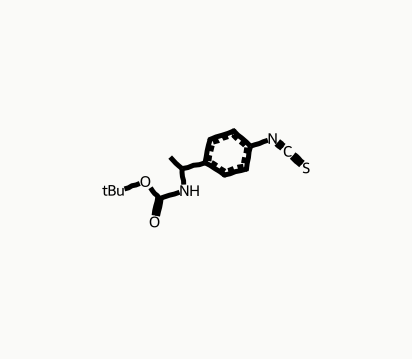 CC(NC(=O)OC(C)(C)C)c1ccc(N=C=S)cc1